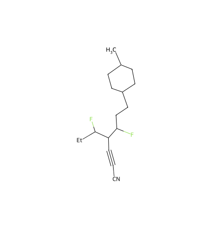 CCC(F)C(C#CC#N)C(F)CCC1CCC(C)CC1